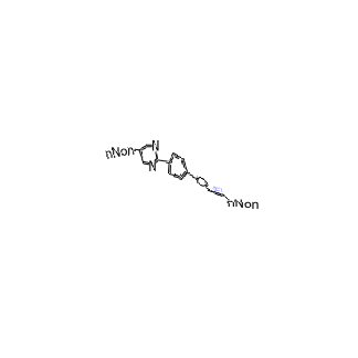 CCCCCCCCC/C=C/Oc1ccc(-c2ncc(CCCCCCCCC)cn2)cc1